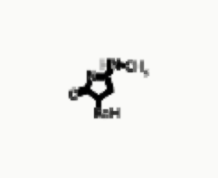 CNC1=NC(=O)[CH]([RaH])C1